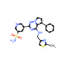 Cc1nc(CNc2nc(-c3cncc(S(N)(=O)=O)c3)nn3ccc(-c4ccccc4)c23)cs1